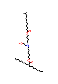 CCCCCCCCC(CCCCCCCC)C(=O)OCCCCCCCN(CCO)CCCCCOC(=O)CCCCCCCCC(C)C